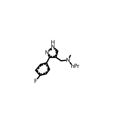 CCCN(C)Cc1c[nH]nc1-c1ccc(F)cc1